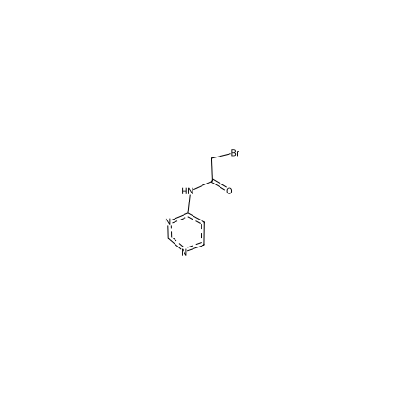 O=C(CBr)Nc1ccncn1